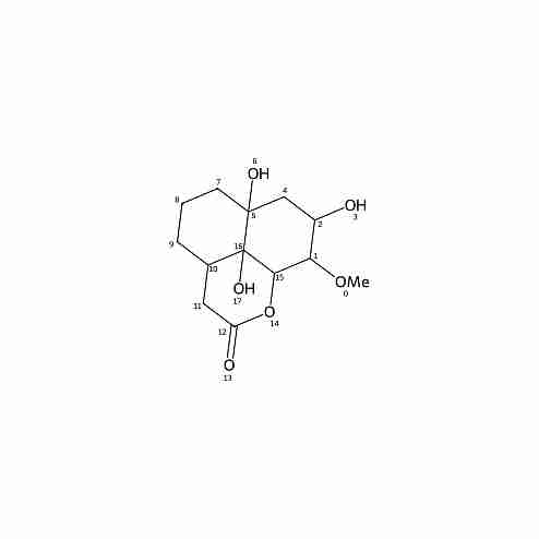 COC1C(O)CC2(O)CCCC3CC(=O)OC1C32O